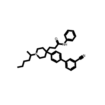 CCCCC(C)N1CCC(CCC(=O)Nc2ccccc2)(c2ccc(-c3cccc(C#N)c3)cc2)CC1